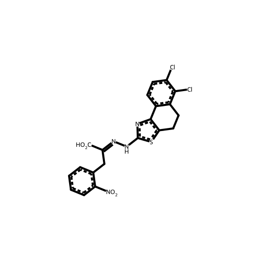 O=C(O)C(Cc1ccccc1[N+](=O)[O-])=NNc1nc2c(s1)CCc1c-2ccc(Cl)c1Cl